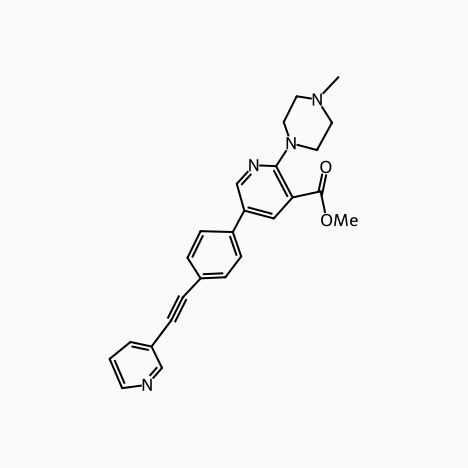 COC(=O)c1cc(-c2ccc(C#Cc3cccnc3)cc2)cnc1N1CCN(C)CC1